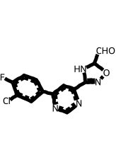 O=CC1NC(c2cc(-c3ccc(F)c(Cl)c3)ncn2)=NO1